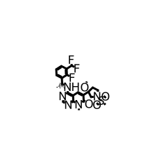 COC1(c2cc3c(N[C@H](C)c4cccc(C(F)F)c4F)ncnc3n(C)c2=O)CCN(S(C)(=O)=O)C1